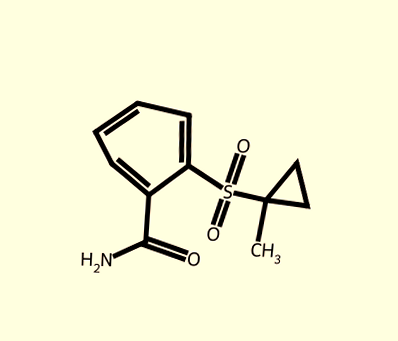 CC1(S(=O)(=O)c2ccccc2C(N)=O)CC1